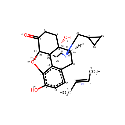 O=C(O)/C=C/C(=O)O.O=C1CC[C@@]2(O)[C@H]3Cc4ccc(O)c5c4[C@@]2(CCN3CC2CC2)[C@H]1O5